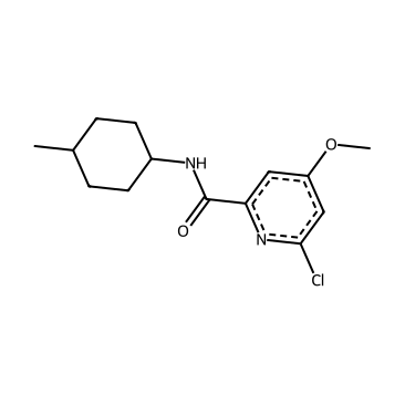 COc1cc(Cl)nc(C(=O)NC2CCC(C)CC2)c1